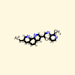 C=C(/C=N\c1cccnc1C)c1cnc2c(ccc3cc(CC(C)=O)cnc32)c1